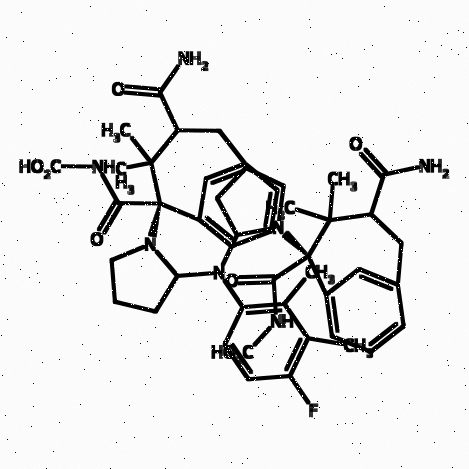 Cc1c(F)ccc(N(C2CCCN2[C@]2(C(=O)NC(=O)O)c3cccc(c3)CC(C(N)=O)C2(C)C)C2CCCN2[C@]2(C(=O)NC(=O)O)c3cccc(c3)CC(C(N)=O)C2(C)C)c1C